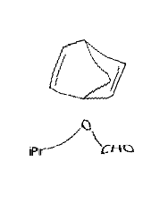 C1=CC2C=CC1C2.CC(C)OC=O